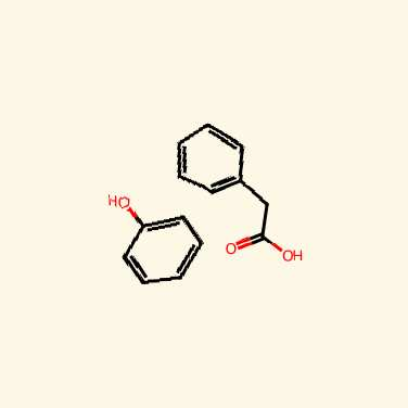 O=C(O)Cc1ccccc1.Oc1ccccc1